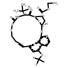 CCOC(=O)[C@@H]1C[C@@H]2CN1C(=O)[C@H](C(C)(C)C)NC(=O)OCCC/C=C/c1cc(OC(F)(F)F)c3ccnc(c3c1)O2